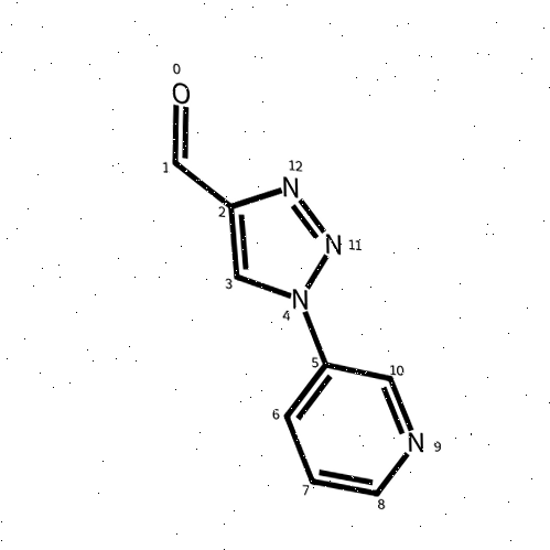 O=Cc1cn(-c2cccnc2)nn1